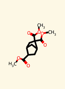 COC(=O)C1CC2CC1CC2(C(=O)OC)C(=O)OC